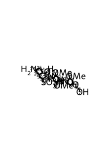 COc1cc(OCCO)ccc1/N=N/c1cc(OC)c(N/N=C2\C(=O)c3ccc(N)cc3C=C2S(=O)(=O)O)cc1OC